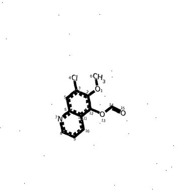 COc1c(Cl)cc2ncccc2c1OC=O